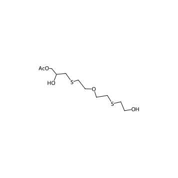 CC(=O)OCC(O)CSCCOCCSCCO